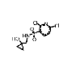 O=S(=O)(NCC1(O)CC1)c1ccc(Cl)nc1Cl